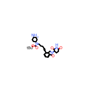 CC(C)(C)OC(=O)N(CCCC#Cc1cccc2c1CN(C1CCC(=O)NC1=O)C2=O)[C@H]1CC[C@@H](N)CC1